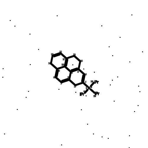 CC(C)[N+](C1=CC2=c3c(ccc4c3=C(C=CC4)CC2)C1)(C(C)C)C(C)C